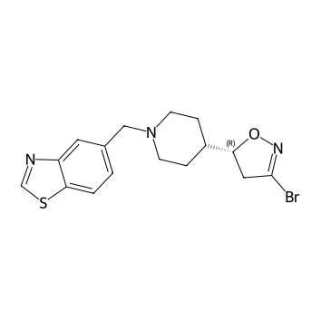 BrC1=NO[C@@H](C2CCN(Cc3ccc4scnc4c3)CC2)C1